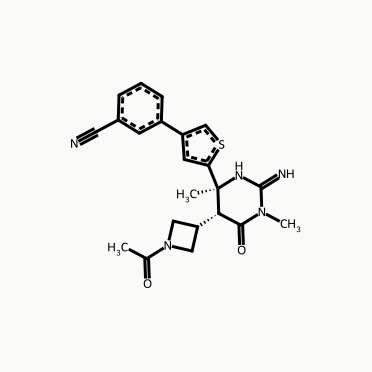 CC(=O)N1CC([C@H]2C(=O)N(C)C(=N)N[C@]2(C)c2cc(-c3cccc(C#N)c3)cs2)C1